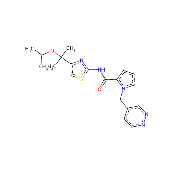 CC(C)OC(C)(C)c1csc(NC(=O)c2cccn2Cc2ccnnc2)n1